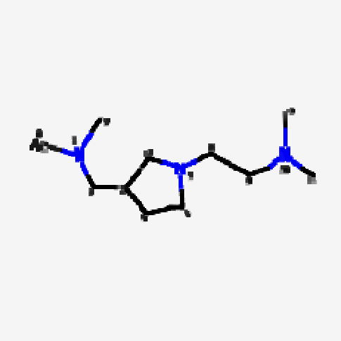 CC(=O)N(C)CC1CCN(CCN(C)C)C1